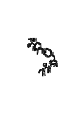 CCNC(=O)Nc1ncc(CN2CCN(c3ccc(C(=O)NC)nc3C)CC2)s1